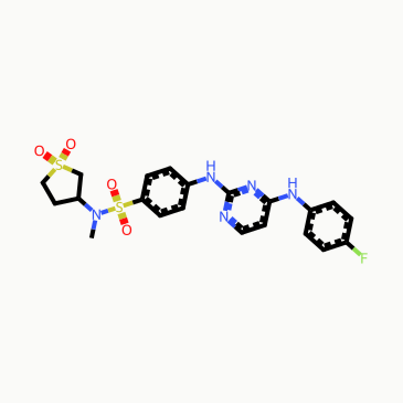 CN(C1CCS(=O)(=O)C1)S(=O)(=O)c1ccc(Nc2nccc(Nc3ccc(F)cc3)n2)cc1